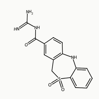 N=C(N)NC(=O)c1ccc2c(c1)CS(=O)(=O)c1ccccc1N2